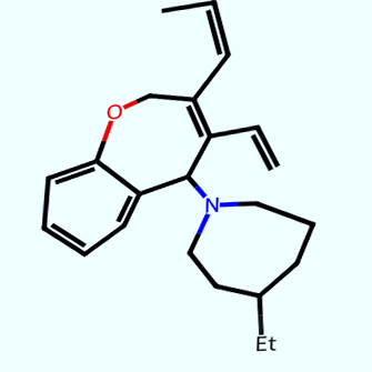 C=CC1=C(/C=C\C)COc2ccccc2C1N1CCCC(CC)CC1